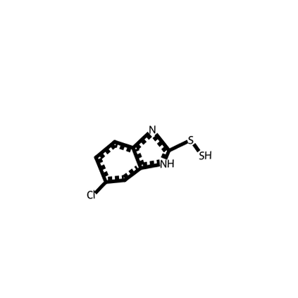 SSc1nc2ccc(Cl)cc2[nH]1